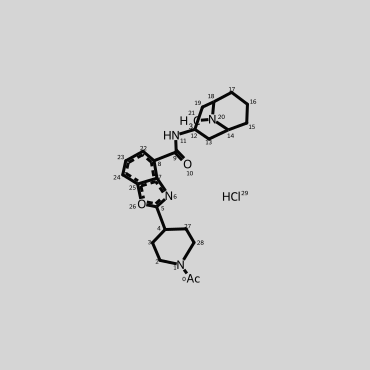 CC(=O)N1CCC(c2nc3c(C(=O)NC4CC5CCCC(C4)N5C)cccc3o2)CC1.Cl